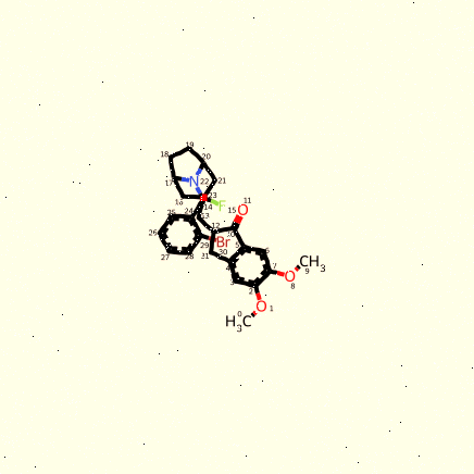 COc1cc2c(cc1OC)C(=O)C(CC1(F)CC3CCC(C1)N3Cc1ccccc1Br)C2